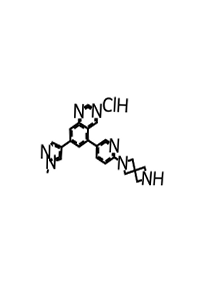 Cl.Cn1cc(-c2cc(-c3ccc(N4CC5(CNC5)C4)nc3)c3cncnc3c2)cn1